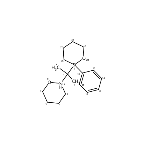 CC(C)([SiH]1CCCCO1)[Si]1(c2ccccc2)CCCCO1